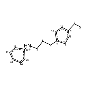 CCc1ccc(CCCNc2cc[c]cc2)cc1